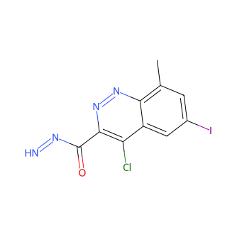 Cc1cc(I)cc2c(Cl)c(C(=O)N=N)nnc12